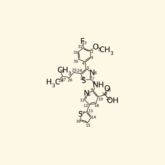 COc1cc(-c2nc(Nc3ncc(-c4cccs4)cc3C(=O)O)sc2CCC(C)C)ccc1F